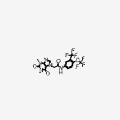 Cn1c(=O)c2c(ncn2CC(=O)Nc2ccc(OC(F)(F)F)c(C(F)(F)F)c2)n(C)c1=O